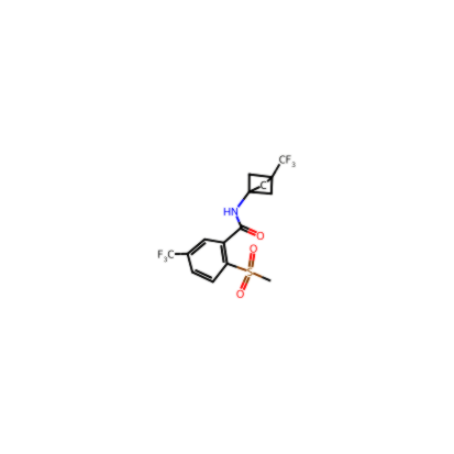 CS(=O)(=O)c1ccc(C(F)(F)F)cc1C(=O)NC12CC(C(F)(F)F)(C1)C2